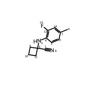 Cc1ccc(NC2(C#N)CCC2)c(F)c1